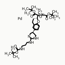 CC(C)(C)OC(=O)NCCCNC1=NC[C@@H](c2ccc3c(c2)CC[C@H]([C@](C)(ONC(=O)OC(C)(C)C)C(=O)OC(C)(C)C)O3)CN1.[Pd]